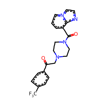 O=C(CN1CCN(C(=O)c2cccn3ccnc23)CC1)c1ccc(C(F)(F)F)cc1